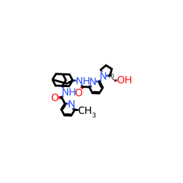 Cc1cccc(C(=O)NC23CC4CC(C2)CC(NC(=O)c2cccc(N5CCC[C@@H]5CO)n2)(C4)C3)n1